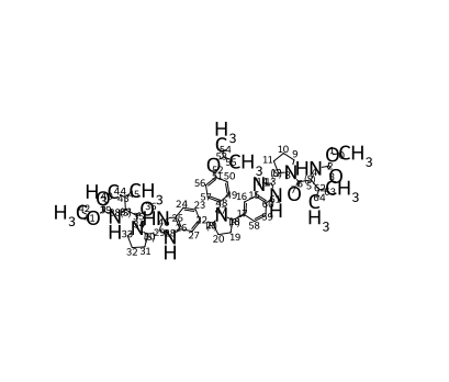 COC(=O)N[C@H](C(=O)N1CCC[C@H]1c1nc2cc([C@H]3CC[C@H](c4ccc5c(c4)NC([C@@H]4CCCN4C(=O)[C@@H](NC(=O)OC)C(C)C)N5)N3c3ccc(OC(C)C)cc3)ccc2[nH]1)C(C)C